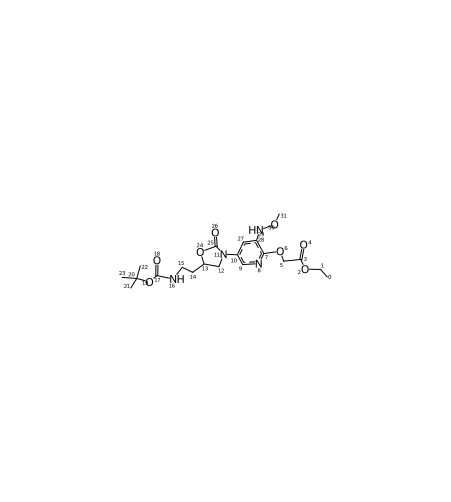 CCOC(=O)COc1ncc(N2CC(CCNC(=O)OC(C)(C)C)OC2=O)cc1NOC